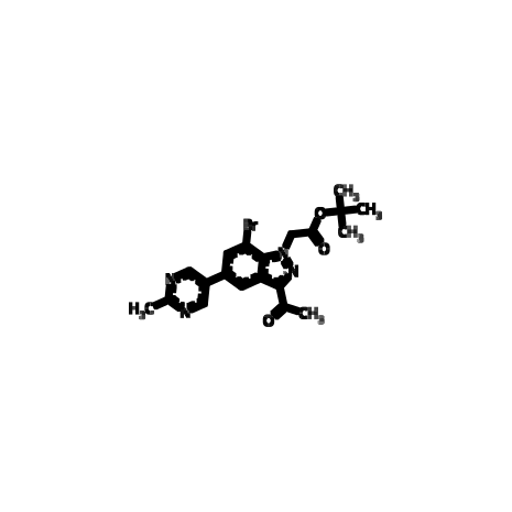 CC(=O)c1nn(CC(=O)OC(C)(C)C)c2c(Br)cc(-c3cnc(C)nc3)cc12